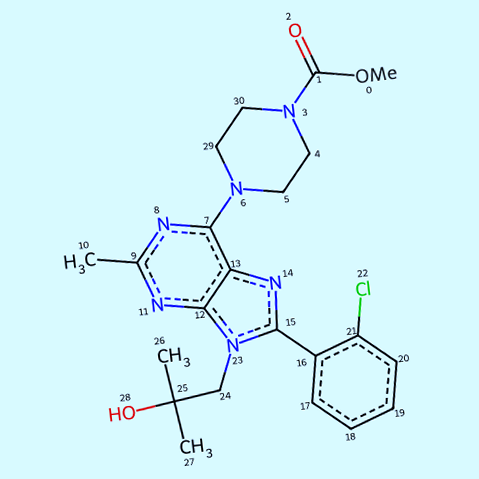 COC(=O)N1CCN(c2nc(C)nc3c2nc(-c2ccccc2Cl)n3CC(C)(C)O)CC1